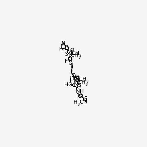 Cc1ncsc1-c1ccc(CNCC(=O)[C@@H]2C[C@@H](O)CN2C(=O)[C@@H](NC(=O)COCC#CC#CCOc2ccc(N3C(=S)N(c4ccc(C#N)c(C(F)(F)F)c4)C(=O)C3(C)C)cc2F)C(C)(C)C)cc1